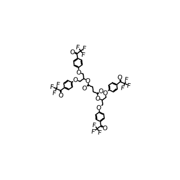 O=C(CCC(=O)OC(COc1ccc(C(=O)C(F)(F)F)cc1)COc1ccc(C(=O)C(F)(F)F)cc1)OC(COc1ccc(C(=O)C(F)(F)F)cc1)COc1ccc(C(=O)C(F)(F)F)cc1